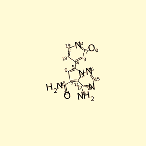 COc1cc(-c2cc(C(N)=O)c3c(N)ncnn23)ccn1